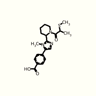 CSC(C)C(=O)N1CCCCC1c1ncc(-c2ccc(C(=O)O)cc2)n1C